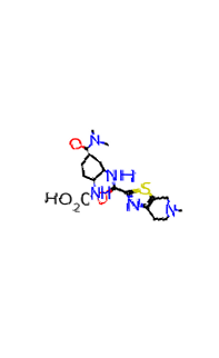 CN1CCc2nc(C(=O)N[C@@H]3C[C@@H](C(=O)N(C)C)CC[C@@H]3NC(=O)O)sc2C1